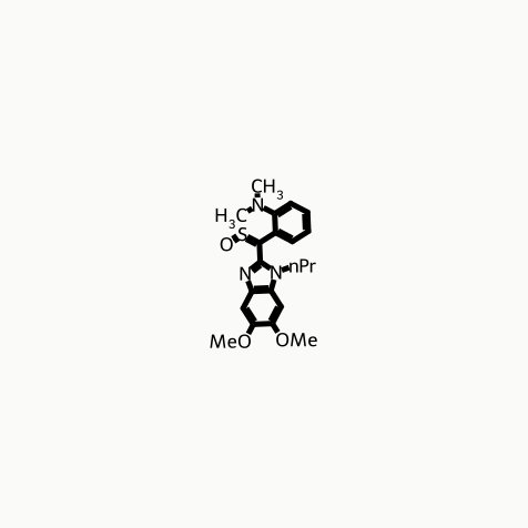 CCCn1c(C(=S=O)c2ccccc2N(C)C)nc2cc(OC)c(OC)cc21